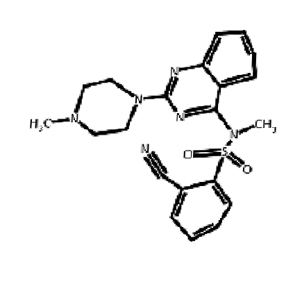 CN1CCN(c2nc(N(C)S(=O)(=O)c3ccccc3C#N)c3ccccc3n2)CC1